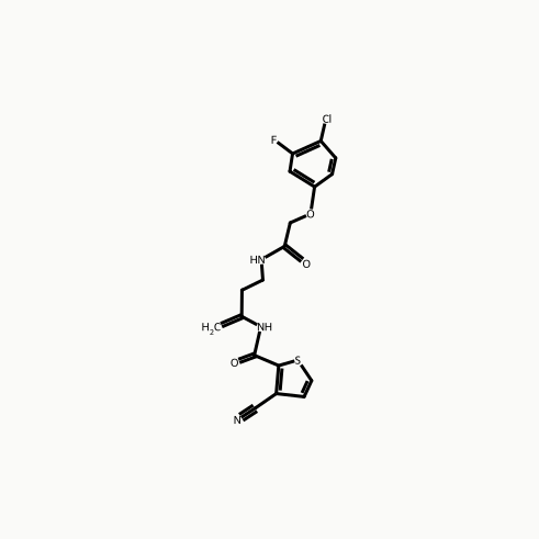 C=C(CCNC(=O)COc1ccc(Cl)c(F)c1)NC(=O)c1sccc1C#N